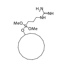 CO[Si](CCCNC(=N)N)(OC)OC1CCCCCCCCCCCCCCC1